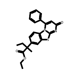 CCOC(=O)C(C)(CC)c1ccc2c(c1)sc1nc(=O)cc(-c3ccccc3)n12